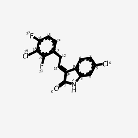 O=C1Nc2cc(Cl)ccc2/C1=C\Cc1ccc(F)c(Cl)c1F